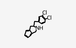 Clc1ccc(CC2Cc3ccccc3CN2)cc1Cl